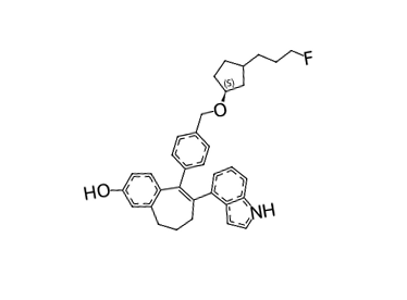 Oc1ccc2c(c1)CCCC(c1cccc3[nH]ccc13)=C2c1ccc(CO[C@H]2CCC(CCCF)C2)cc1